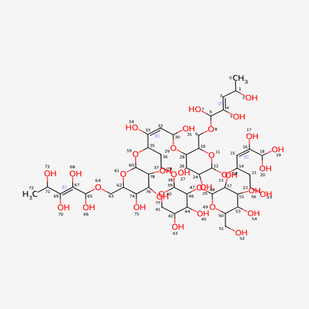 CC(O)/C=C(\O)C(O)OCC1OC(OC(/C=C(/O)C(O)O)CCO)C(O)C(O)C1OC(O)/C=C(/O)C(CCOC1OCC(O)C(O)C1OC1OC(CO)C(O)C(O)C1O)OC1OC(COC(O)/C(O)=C(\O)C(C)O)C(O)C(O)C1O